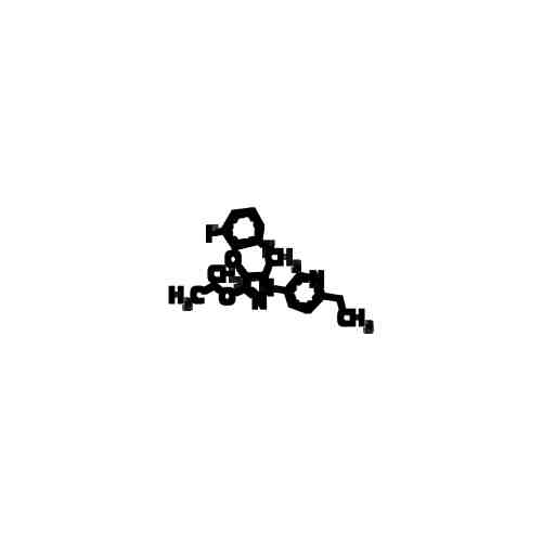 CCc1ccc(-n2nc(OC(C)C)c(Oc3c(F)cccc3F)c2C)cn1